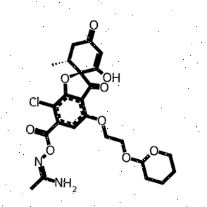 C/C(N)=N/OC(=O)c1cc(OCCOC2CCCCO2)c2c(c1Cl)O[C@]1(C2=O)C(O)=CC(=O)C[C@H]1C